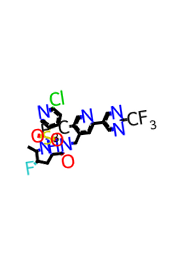 CC1C(F)CC(C(=O)NCc2cc(-c3cnc(C(F)(F)F)nc3)ncc2C(F)(F)F)N1S(=O)(=O)c1ccc(Cl)nc1